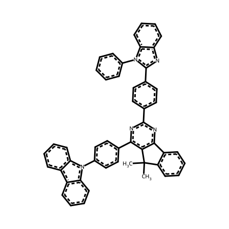 CC1(C)c2ccccc2-c2nc(-c3ccc(-c4nc5ccccc5n4-c4ccccc4)cc3)nc(-c3ccc(-n4c5ccccc5c5ccccc54)cc3)c21